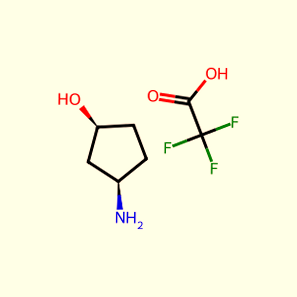 N[C@@H]1CC[C@H](O)C1.O=C(O)C(F)(F)F